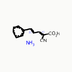 N.N#C/C(=C\C=C\c1ccccc1)C(=O)O